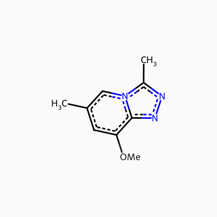 COc1cc(C)cn2c(C)nnc12